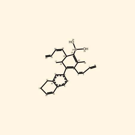 C=C/C=C\C1=C(c2ccc3c(c2)CCC=C3)C(C)C(/C=C\C=C)C(B(O)O)=C1C